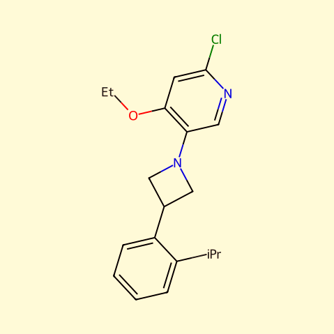 CCOc1cc(Cl)ncc1N1CC(c2ccccc2C(C)C)C1